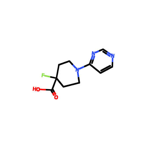 O=C(O)C1(F)CCN(c2ccncn2)CC1